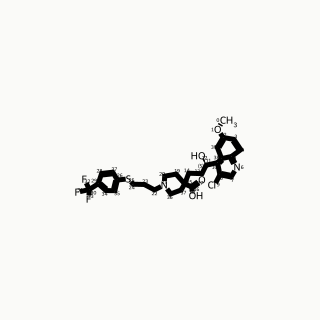 COc1ccc2ncc(Cl)c([C@@H](O)CCC3(C(=O)O)CCN(CCCSc4ccc(C(F)(F)F)cc4)CC3)c2c1